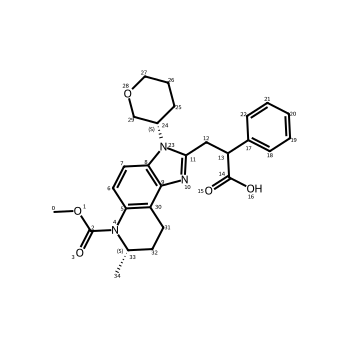 COC(=O)N1c2ccc3c(nc(CC(C(=O)O)c4ccccc4)n3[C@H]3CCCOC3)c2CC[C@@H]1C